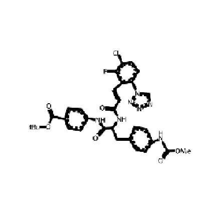 COC(=O)Nc1ccc(CC(NC(=O)C=Cc2c(-n3cnnn3)ccc(Cl)c2F)C(=O)Nc2ccc(C(=O)OC(C)(C)C)cc2)cc1